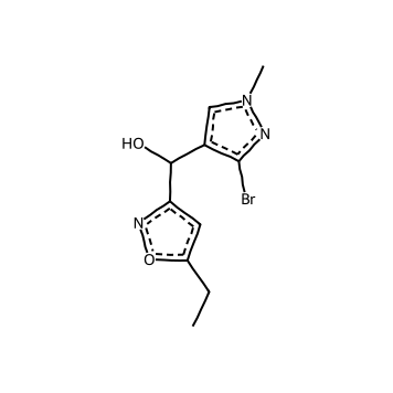 CCc1cc(C(O)c2cn(C)nc2Br)no1